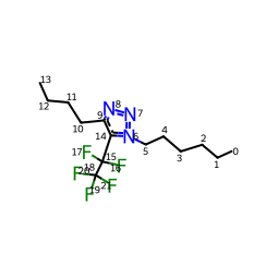 CCCCCCn1nnc(CCCC)c1C(F)(F)C(F)(F)F